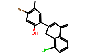 C=C1C=C(c2cc(C)c(Br)cc2O)Cc2c(Cl)cccc21